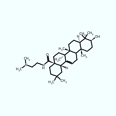 CN(C)CCNC(=O)[C@]12CCC(C)(C)C[C@H]1C1=CCC3[C@@]4(C)CC[C@H](O)C(C)(C)[C@@H]4CC[C@@]3(C)[C@]1(C)CC2